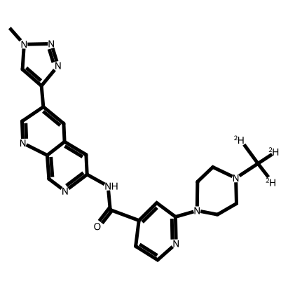 [2H]C([2H])([2H])N1CCN(c2cc(C(=O)Nc3cc4cc(-c5cn(C)nn5)cnc4cn3)ccn2)CC1